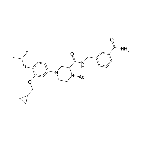 CC(=O)N1CCN(c2ccc(OC(F)F)c(OCC3CC3)c2)CC1C(=O)NCc1cccc(C(N)=O)c1